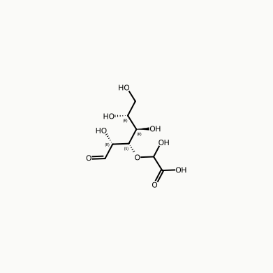 O=C[C@H](O)[C@@H](OC(O)C(=O)O)[C@H](O)[C@H](O)CO